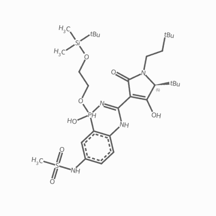 CC(C)(C)CCN1C(=O)C(C2=N[PH](O)(OCCO[Si](C)(C)C(C)(C)C)c3cc(NS(C)(=O)=O)ccc3N2)=C(O)[C@@H]1C(C)(C)C